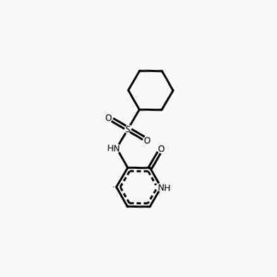 O=c1[nH]cc[c]c1NS(=O)(=O)C1CCCCC1